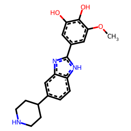 COc1cc(-c2nc3cc(C4CCNCC4)ccc3[nH]2)cc(O)c1O